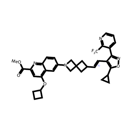 COC(=O)c1cc(OC2CCC2)c2cc(N3CC4(CC(/C=C/c5c(-c6cccnc6C(F)(F)F)noc5C5CC5)C4)C3)ccc2n1